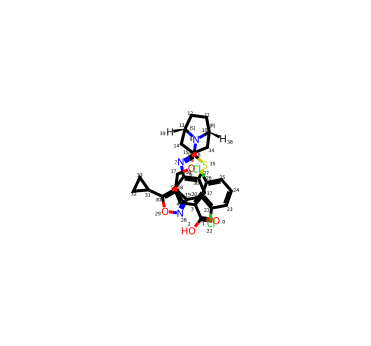 O=C(O)c1ccc2nc(N3[C@@H]4CC[C@H]3C[C@@H](OCc3c(-c5c(Cl)cccc5Cl)noc3C3CC3)C4)sc2c1